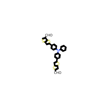 O=Cc1cc2sc(-c3ccc(N(c4ccccc4)c4ccc(-c5cc6scc(C=O)c6s5)cc4)cc3)cc2s1